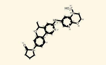 CC1Oc2cc(N3CCCC3=O)ccc2-c2cnc(Nc3cnc4c(c3)N(C(=O)O)CCO4)cc21